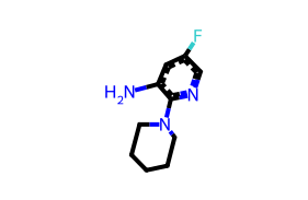 Nc1cc(F)cnc1N1CCCCC1